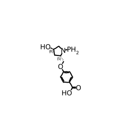 O=C(O)c1ccc(OC[C@@H]2C[C@@H](O)CN2P)cc1